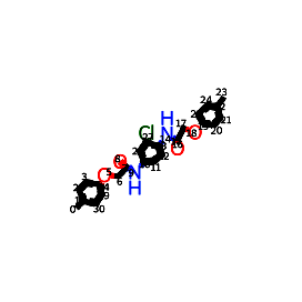 Cc1ccc(OCC(=O)Nc2ccc(NC(=O)COc3ccc(C)cc3)c(Cl)c2)cc1